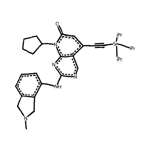 CC(C)[Si](C#Cc1cc(=O)n(C2CCCC2)c2nc(Nc3cccc4c3CN(C)C4)ncc12)(C(C)C)C(C)C